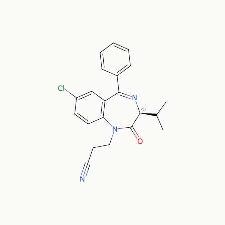 CC(C)[C@@H]1N=C(c2ccccc2)c2cc(Cl)ccc2N(CCC#N)C1=O